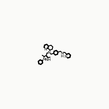 CC1=C(CN(Cc2ccc(CNCc3ccccn3)cc2)C2CCCc3cccnc32)C(C)N(c2ccccc2)N1